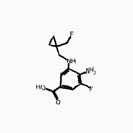 Nc1c(F)cc(C(=O)O)cc1NCC1(CF)CC1